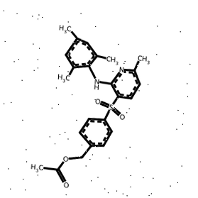 CC(=O)OCc1ccc(S(=O)(=O)c2ccc(C)nc2Nc2c(C)cc(C)cc2C)cc1